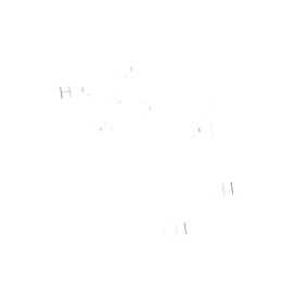 Cc1ccc(OS(C)(=O)=O)c(C)c1C.S